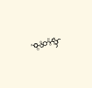 CCc1cc(CC)n2ncc(C(=O)NC3CCC4(CC3)CCN(c3ccc(F)cc3Cl)C4=O)c2n1